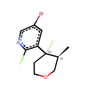 C[C@H]1COCC[C@@]1(F)c1cc(Br)cnc1F